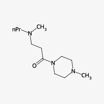 CCCN(C)CCC(=O)N1CCN(C)CC1